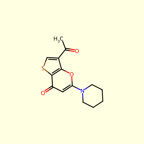 CC(=O)c1csc2c(=O)cc(N3CCCCC3)oc12